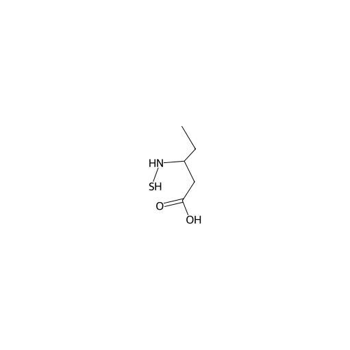 CCC(CC(=O)O)NS